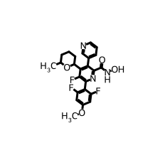 COc1cc(F)c(-c2nc(C(=O)NO)c(-c3cccnc3)c(C3CCCC(C)O3)c2F)c(F)c1